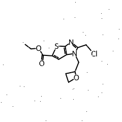 CCOC(=O)c1cc2c(nc(CCl)n2CC2CCO2)s1